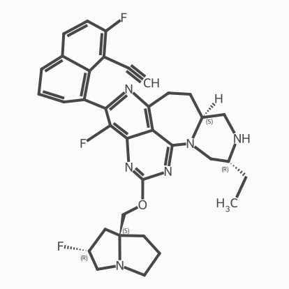 C#Cc1c(F)ccc2cccc(-c3nc4c5c(nc(OC[C@@]67CCCN6C[C@H](F)C7)nc5c3F)N3C[C@@H](CC)NC[C@@H]3CC4)c12